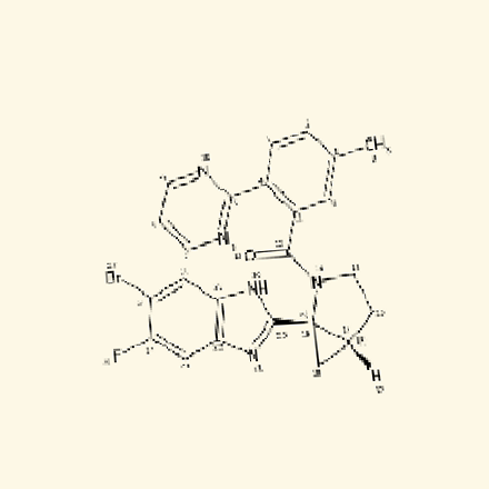 Cc1ccc(-c2ncccn2)c(C(=O)N2CC[C@@H]3C[C@@]32c2nc3cc(F)c(Br)cc3[nH]2)c1